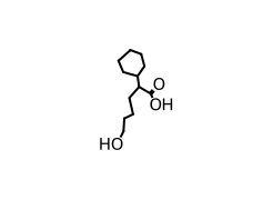 O=C(O)C(CCCCO)C1CCCCC1